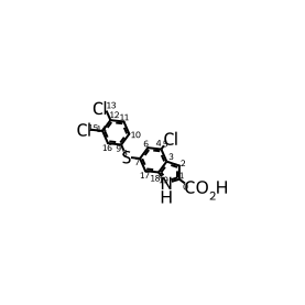 O=C(O)c1cc2c(Cl)cc(Sc3ccc(Cl)c(Cl)c3)cc2[nH]1